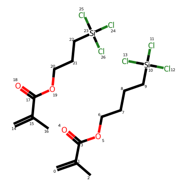 C=C(C)C(=O)OCCCC[Si](Cl)(Cl)Cl.C=C(C)C(=O)OCCC[Si](Cl)(Cl)Cl